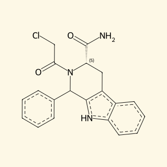 NC(=O)[C@@H]1Cc2c([nH]c3ccccc23)C(c2ccccc2)N1C(=O)CCl